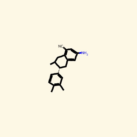 Cc1ccc([C@H]2Cc3cc(N)cc(C#N)c3CC2C)cc1C